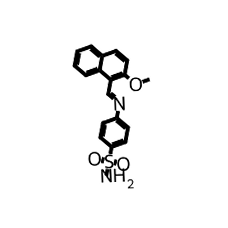 COc1ccc2ccccc2c1/C=N/c1ccc(S(N)(=O)=O)cc1